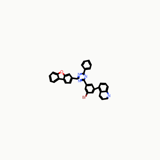 Brc1cc(-c2nc(-c3ccccc3)nc(-c3ccc4c(c3)oc3ccccc34)n2)cc(-c2cccc3ncccc23)c1